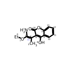 CCO/C(N)=C(\C)c1c(O)c2ccccc2oc1=O